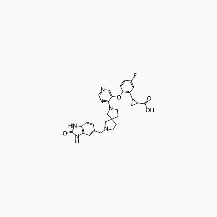 O=C(O)C1CC1c1cc(F)ccc1Oc1cncnc1N1CCC2(CCN(Cc3ccc4[nH]c(=O)[nH]c4c3)C2)C1